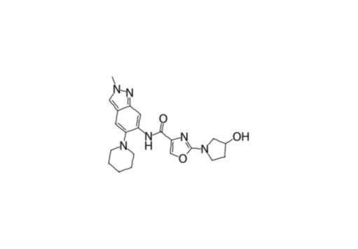 Cn1cc2cc(N3CCCCC3)c(NC(=O)c3coc(N4CCC(O)C4)n3)cc2n1